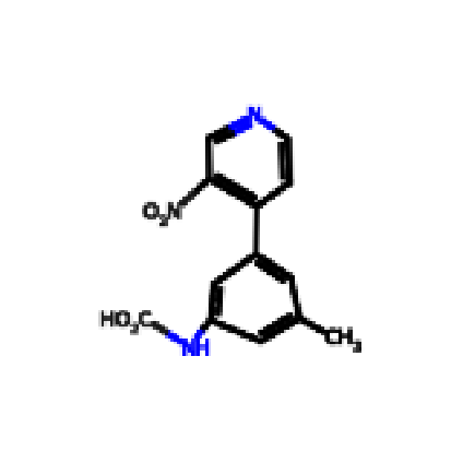 Cc1cc(NC(=O)O)cc(-c2ccncc2[N+](=O)[O-])c1